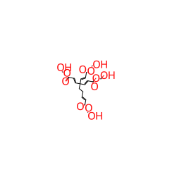 O=C(C=CCCC(C=CC(=O)OCO)(C=CC(=O)OCO)C=CC(=O)OCO)OCO